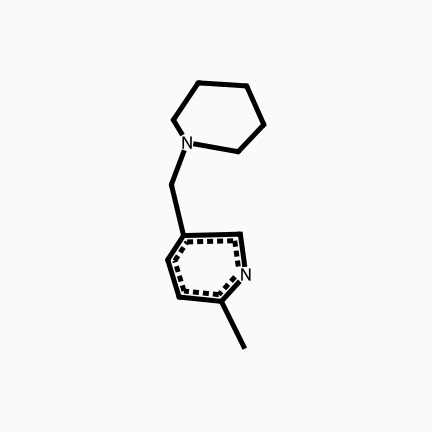 Cc1ccc(CN2CCCCC2)cn1